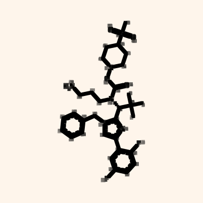 CC(C)(C)[C@H](c1nc(-c2cc(F)ccc2F)cn1Cc1ccccc1)N(CCCN)C(=O)ON1CCC(S(C)(=O)=O)CC1